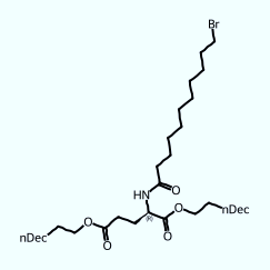 CCCCCCCCCCCCOC(=O)CC[C@@H](NC(=O)CCCCCCCCCCBr)C(=O)OCCCCCCCCCCCC